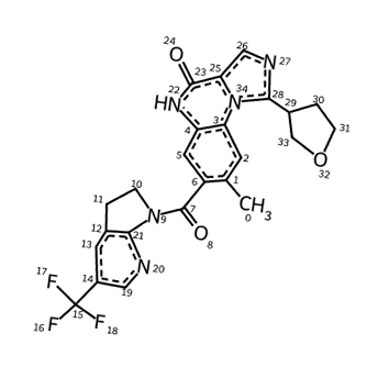 Cc1cc2c(cc1C(=O)N1CCc3cc(C(F)(F)F)cnc31)[nH]c(=O)c1cnc(C3CCOC3)n12